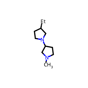 CCC1CCN(C2CCN(C)C2)C1